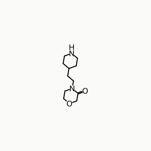 O=C1COCCN1CCC1CCNCC1